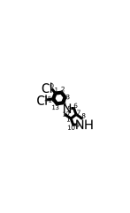 Clc1ccc(N2CC3CNCC3C2)cc1Cl